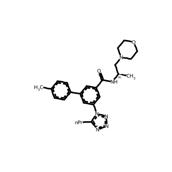 CCCc1nnnn1-c1cc(C(=O)N[C@H](C)CN2CCOCC2)cc(-c2ccc(C)cc2)c1